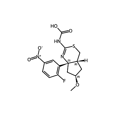 CO[C@@H]1C[C@H]2CSC(NC(=O)O)=N[C@@]2(c2cc([N+](=O)[O-])ccc2F)C1